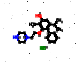 Cc1c(O)cc(C(C)C)c(-c2ccccc2)c1OCCN1CCNCC1.Cl